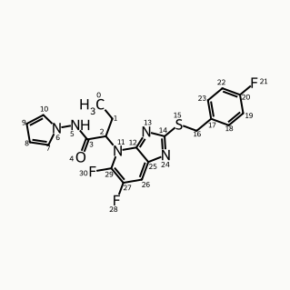 CCC(C(=O)Nn1cccc1)n1c2nc(SCc3ccc(F)cc3)nc-2cc(F)c1F